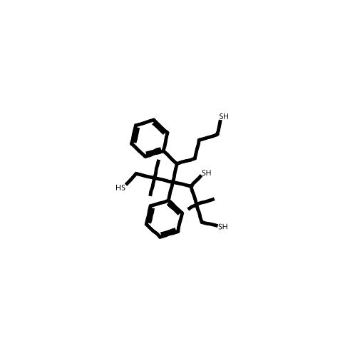 CC(C)(CS)[C](S)C(c1ccccc1)(C(CC[CH]S)c1ccccc1)C(C)(C)CS